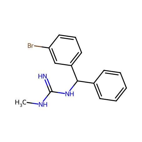 CNC(=N)NC(c1ccccc1)c1cccc(Br)c1